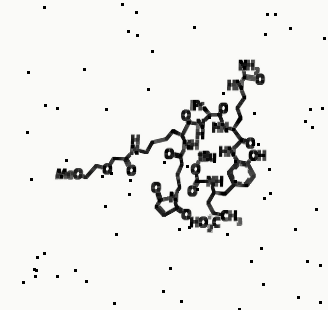 COCCOCC(=O)NCCCC[C@H](NC(=O)CCCN1C(=O)C=CC1=O)C(=O)N[C@H](C(=O)N[C@@H](CCCNC(N)=O)C(=O)Nc1cc(C[C@@H](C[C@H](C)C(=O)O)NC(=O)OC(C)(C)C)ccc1O)C(C)C